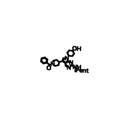 CCCC(C)Nc1ncc2c(C3CCN(C(=O)c4ccccc4)CC3)cn(C3CCC(O)CC3)c2n1